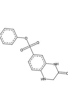 O=C1CNc2ccc(S(=O)(=O)Oc3ccccc3)cc2N1